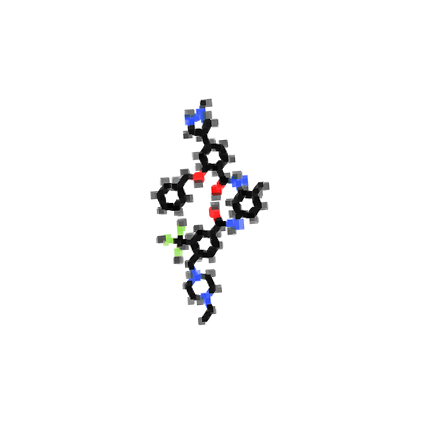 CCN1CCN(Cc2ccc(C(=O)Nc3ccc(C)c(NC(=O)c4ccc(-c5cnn(C)c5)cc4OCc4ccccc4)c3)cc2C(F)(F)F)CC1